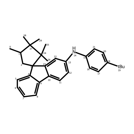 CC1CC2(c3ccccc3-c3ccc(Nc4ccc(C(C)(C)C)cc4)cc32)C(C)(C)C1(C)C